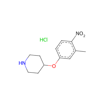 Cc1cc(OC2CCNCC2)ccc1[N+](=O)[O-].Cl